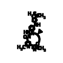 Cc1cc2cc(n1)-c1cnn(C)c1OCCC[C@@H](C1CC1)CN1/C(=N/C2=O)Nc2ccc(N[C@H]3CC[C@H](N(C)C)C3)cc21